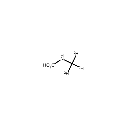 [2H]C([2H])([2H])NC(=O)O